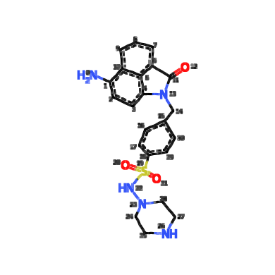 Nc1ccc2c3c(cccc13)C(=O)N2Cc1ccc(S(=O)(=O)NN2CCNCC2)cc1